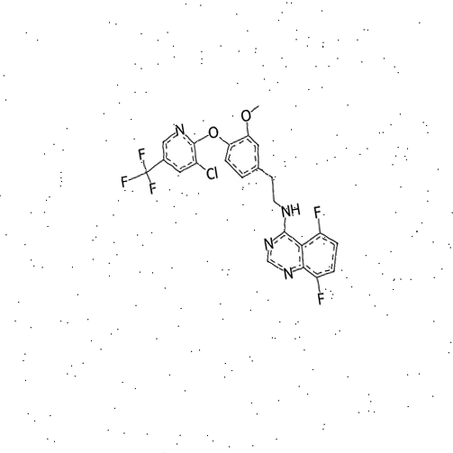 COc1cc(CCNc2ncnc3c(F)ccc(F)c23)ccc1Oc1ncc(C(F)(F)F)cc1Cl